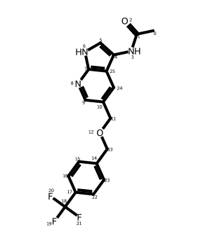 CC(=O)Nc1c[nH]c2ncc(COCc3ccc(C(F)(F)F)cc3)cc12